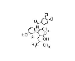 CCC(C)C[C@H](C(=O)O)c1c(C)n(C(=O)c2ccc(Cl)c(Cl)c2)c2ccc(O)c(F)c12